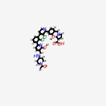 COc1cc(-c2nccc(-c3cccc(-c4ccc(CNC5CCN(C(C)=O)CC5)c(OC)n4)c3Cl)c2Cl)ccc1CN1CC[C@@H](C(=O)O)C1